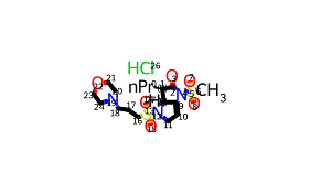 CCC[C@H]1C(=O)N(S(C)(=O)=O)C2=CCN(S(=O)(=O)CCCN3CCOCC3)[C@@H]21.Cl